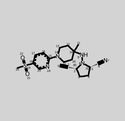 C#C[C@H]1CC[C@@H](C#N)N1NC1(C)CCN(c2ccc(S(C)(=O)=O)cn2)CC1